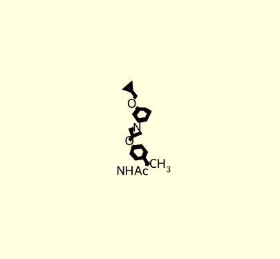 CC(=O)NC(C)c1ccc(OC2CN(c3cccc(OCC4CC4)c3)C2)cc1